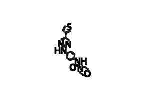 O=C(Nc1ccc(Nc2ncc(-c3ccsc3)cn2)cc1)N1CCOCC1